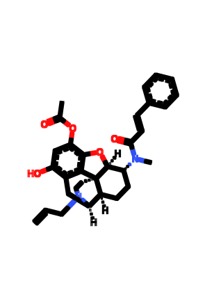 C=CCN1CC[C@]23c4c5c(O)cc(OC(C)=O)c4O[C@H]2[C@H](N(C)C(=O)C=Cc2ccccc2)CC[C@H]3[C@H]1C5